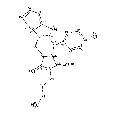 CCCCN1C(=O)C2Cc3c([nH]c4ccccc34)C(c3ccc(Cl)cc3)N2C1=O